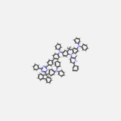 Cc1nc(-c2ccccc2)ccc1N1c2ccc(N(c3ccccc3)c3ccccc3)cc2C(C)(C)c2cc(N(c3ccccc3)c3ccc(-c4ccc(-c5nc(-c6ccccc6)nc(C6(c7ccc(N(c8ccccc8)c8ccccc8)cc7)c7ccccc7-c7ccccc76)n5)cc4)cc3)ccc21